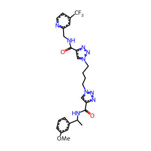 COc1cccc(C(C)NC(=O)c2cn(CCCCn3cc(C(=O)NCc4cc(C(F)(F)F)ccn4)nn3)nn2)c1